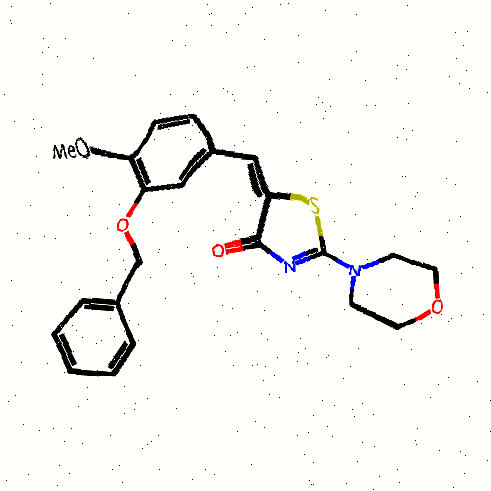 COc1ccc(C=C2SC(N3CCOCC3)=NC2=O)cc1OCc1ccccc1